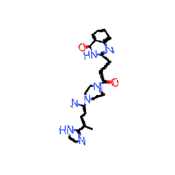 C=N/C(=C\C=C(/C)C1=NCCN1)N1CCN(C(=O)CCc2nc3ccccc3c(=O)[nH]2)CC1